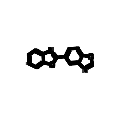 [c]1ccc2nc(-c3ccc4ocnc4c3)oc2c1